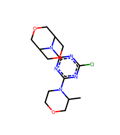 CC1COCCN1c1nc(Cl)nc(N2C3COCC2COC3)n1